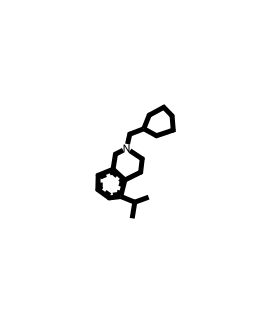 CC(C)c1cccc2c1CCN(CC1CCCCC1)C2